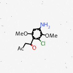 COc1cc(N)c(OC)c(Cl)c1C(=O)CC(C)=O